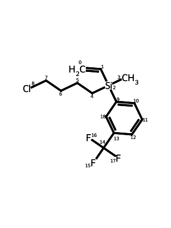 C=C[Si](C)(CCCCCl)c1cccc(C(F)(F)F)c1